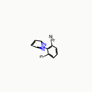 CC(C)c1cccc(C(C)C)c1-n1c2ccc1nn2.[Ni]